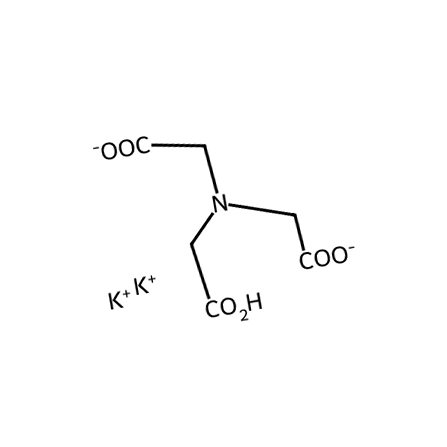 O=C([O-])CN(CC(=O)[O-])CC(=O)O.[K+].[K+]